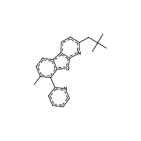 Cc1ccc2c(oc3nc(CC(C)(C)C)ccc32)c1-c1ccccn1